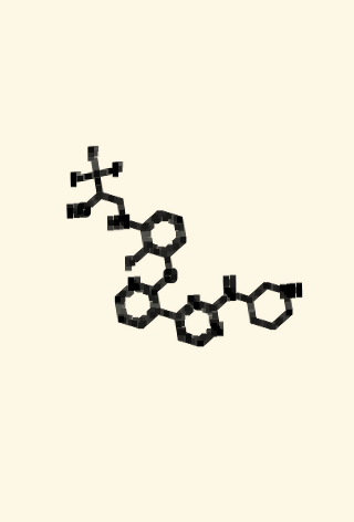 OC(CNc1cccc(Oc2ncccc2-c2ccnc(NC3CCCNC3)n2)c1F)C(F)(F)F